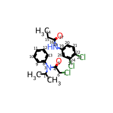 CC(C)N(C(=O)CCl)c1ccccc1.CCC(=O)Nc1ccc(Cl)c(Cl)c1